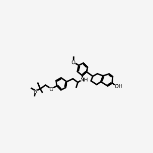 COc1ccc(C2CCc3cc(O)ccc3C2)c(NC(C)Cc2ccc(OCC(C)(C)N(C)C)cc2)c1